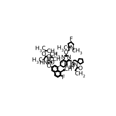 C#Cc1c(F)ccc2cc(OP(=O)(N[C@@H](C)C(=O)OC(C)C)OC(C)C)cc([C@@H]3CCc4c(nc(OC[C@]5(C)C[C@@H](F)CN5C)nc4NCC4(N(C)C(=O)C=C)CCCC4)C3)c12